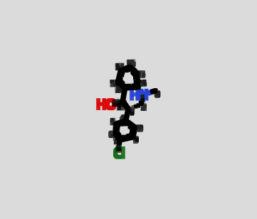 CNC[C@H](c1ccc(Cl)cc1)[C@H](O)c1ccccc1